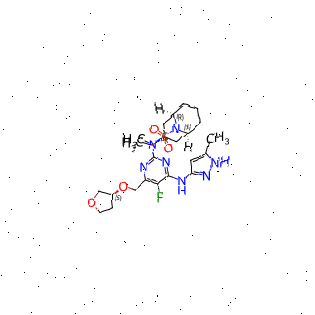 CCS(=O)(=O)N1[C@@H]2CCC[C@H]1C[C@@H](N(C)c1nc(CO[C@H]3CCOC3)c(F)c(Nc3cc(C)[nH]n3)n1)C2